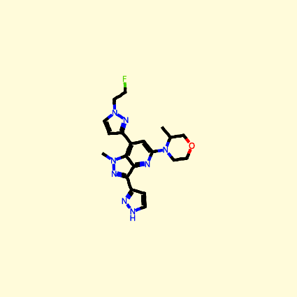 CC1COCCN1c1cc(-c2ccn(CCF)n2)c2c(n1)c(-c1cc[nH]n1)nn2C